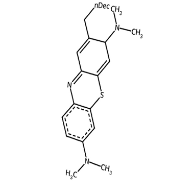 CCCCCCCCCCCC1=CC2=Nc3ccc(N(C)C)cc3SC2=CC1N(C)C